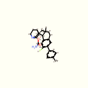 CC(C)c1ccc(-c2cc3c(cc2F)[C@@](OC(N)=O)([C@@H]2CN4CCC2CC4)C(C)(C)CC3)cc1